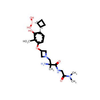 CN(C)C(=O)CNC(=O)C(C)(N)CN1CC(Oc2ccc([C@H]3CC[C@H]3B(O)O)c(O)c2C(=O)O)C1